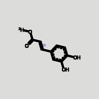 [2H]OC(=O)/C=C/c1ccc(O)c(O)c1